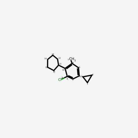 C1CC1.Cc1cccc(Cl)c1C1CCCCC1